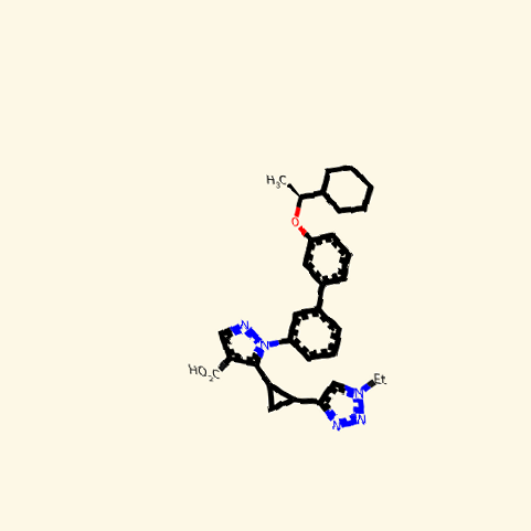 CCn1cc(C2CC2c2c(C(=O)O)cnn2-c2cccc(-c3cccc(O[C@@H](C)C4CCCCC4)c3)c2)nn1